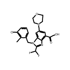 Cc1c(Cl)cccc1Cn1c(C(F)F)nc2c(C(=O)O)cc(N3CCOCC3)cc21